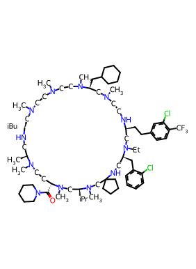 CC[C@H](C)[C@H]1CN(C)CCN(C)CCN(C)[C@@H](CC2CCCCC2)CN(C)CCN[C@@H](CCc2ccc(C(F)(F)F)c(Cl)c2)CN(CC)[C@@H](Cc2ccccc2Cl)CNC2(CCCC2)CN(C)[C@@H](C(C)C)CN(C)[C@H](C(=O)N2CCCCC2)CCN(C)[C@@H](C)CN1